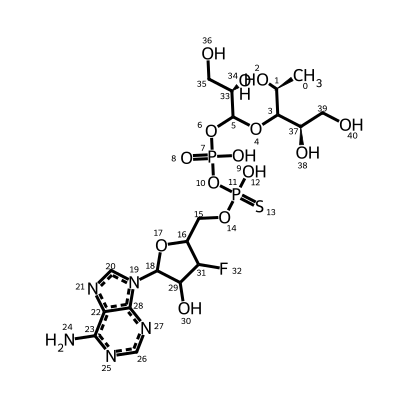 C[C@H](O)C(OC(OP(=O)(O)OP(O)(=S)OCC1OC(n2cnc3c(N)ncnc32)C(O)C1F)[C@H](O)CO)[C@H](O)CO